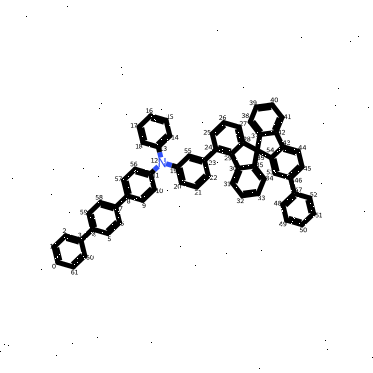 c1ccc(-c2ccc(-c3ccc(N(c4ccccc4)c4cccc(-c5cccc6c5-c5ccccc5C65c6ccccc6-c6ccc(-c7ccccc7)cc65)c4)cc3)cc2)cc1